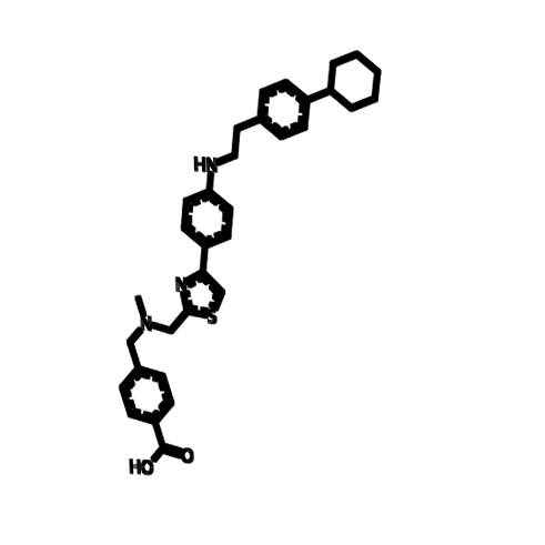 CN(Cc1ccc(C(=O)O)cc1)Cc1nc(-c2ccc(NCCc3ccc(C4CCCCC4)cc3)cc2)cs1